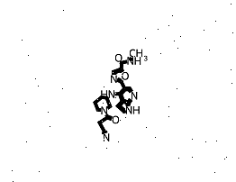 CNC(=O)c1cnc(-c2cnc3[nH]ccc3c2N[C@@H]2CCCN(C(=O)CC#N)C2)o1